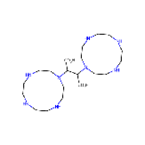 O=C(O)C(C(C(=O)O)N1CCNCCNCCNCC1)N1CCNCCNCCNCC1